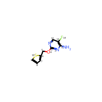 Nc1nc(OCc2cccs2)ncc1F